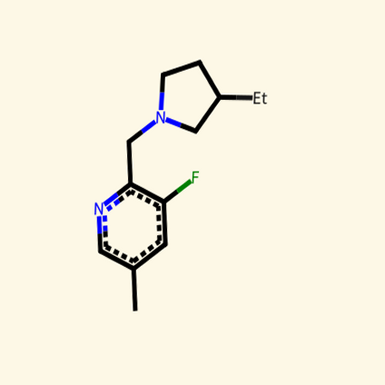 CCC1CCN(Cc2ncc(C)cc2F)C1